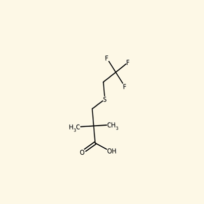 CC(C)(CSCC(F)(F)F)C(=O)O